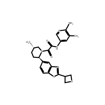 Cc1cc(NC(=O)C(=O)N2C[C@@H](C)CC[C@@H]2c2ccc3sc(C4COC4)nc3c2)cnc1N